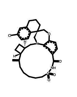 C=C1CCCCCS(=O)(=O)NC(=O)c2ccc3c(c2)N(C[C@@H]2CC[C@@H]12)C[C@@]1(CCCc2cc(Cl)ccc21)CO3